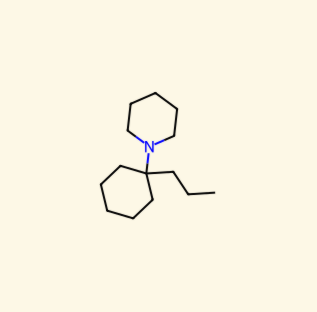 CCCC1(N2CCCCC2)CCCCC1